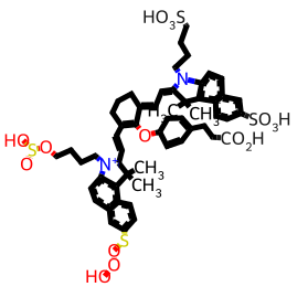 CC1(C)C(/C=C/C2=C(OC3C=CC(CCC(=O)O)=CC3)C(=C/C=C3/N(CCCCS(=O)(=O)O)c4ccc5cc(S(=O)(=O)O)ccc5c4C3(C)C)/CCC2)=[N+](CCCCOS(=O)O)c2ccc3cc(SOOO)ccc3c21